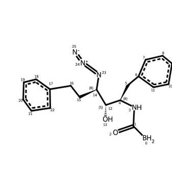 BC(=O)N[C@H](Cc1ccccc1)[C@H](O)[C@@H](CCc1ccccc1)N=[N+]=[N-]